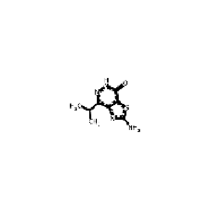 CC(C)c1n[nH]c(=O)c2sc(N)nc12